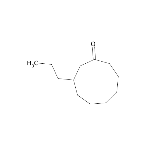 CCC[C]1CCCCCCC(=O)C1